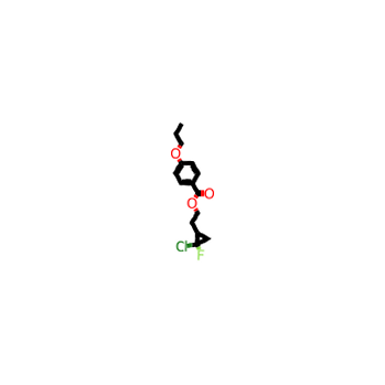 CCCOc1ccc(C(=O)OCCC2CC2(F)Cl)cc1